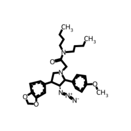 CCCCN(CCCC)C(=O)CN1CC(c2ccc3c(c2)OCO3)[C@@H](N=[N+]=[N-])C1c1ccc(OC)cc1